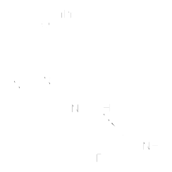 CC(C)Oc1ccn2c(-c3cccc(N[C@H]4CNC[C@@H]4F)n3)cnc2c1